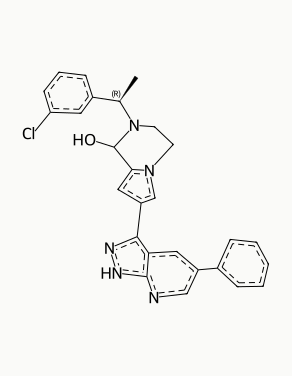 C[C@H](c1cccc(Cl)c1)N1CCn2cc(-c3n[nH]c4ncc(-c5ccccc5)cc34)cc2C1O